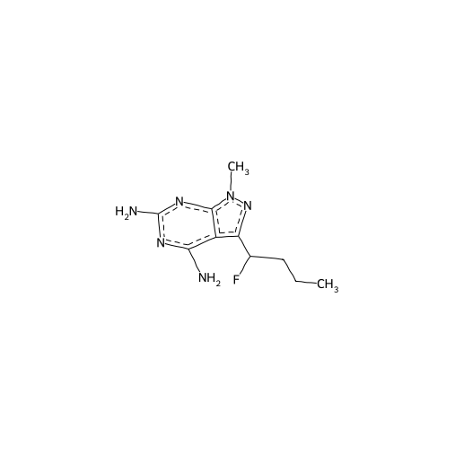 CCCC(F)c1nn(C)c2nc(N)nc(N)c12